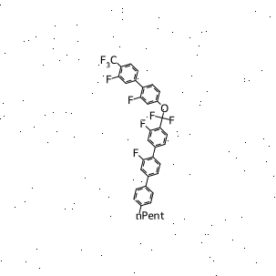 CCCCCc1ccc(-c2ccc(-c3ccc(C(F)(F)Oc4ccc(-c5ccc(C(F)(F)F)c(F)c5)c(F)c4)c(F)c3)c(F)c2)cc1